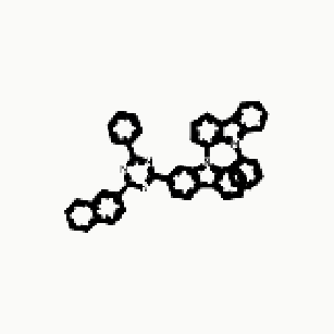 c1ccc(-c2nc(-c3ccc4ccccc4c3)nc(-c3ccc4c5ccccc5n(-c5cccc6c7ccccc7n(-c7ccccc7)c56)c4c3)n2)cc1